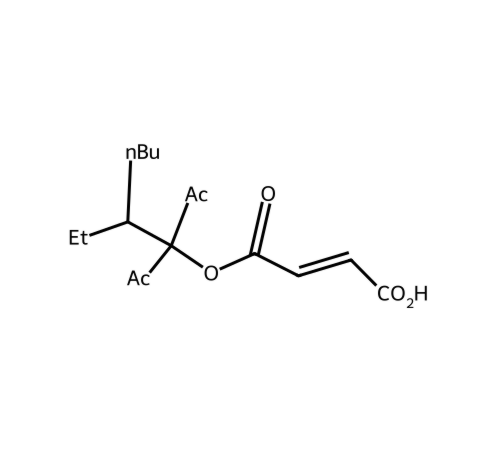 CCCCC(CC)C(OC(=O)C=CC(=O)O)(C(C)=O)C(C)=O